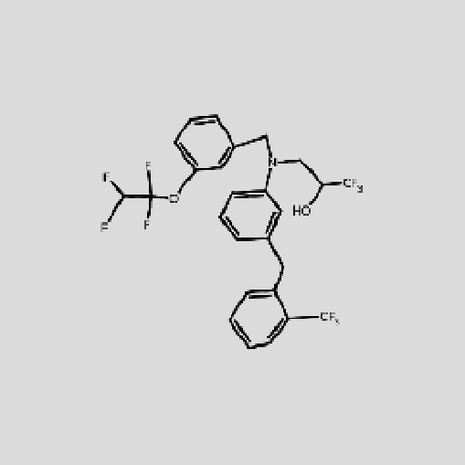 OC(CN(Cc1cccc(OC(F)(F)C(F)F)c1)c1cccc(Cc2ccccc2C(F)(F)F)c1)C(F)(F)F